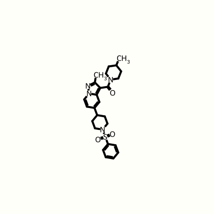 Cc1nn2ccc(C3CCN(S(=O)(=O)c4ccccc4)CC3)cc2c1C(=O)N1CCC(C)CC1